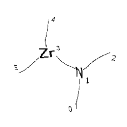 C[N](C)[Zr]([CH3])[CH3]